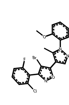 COc1ccccc1-n1ncc(-c2onc(-c3c(F)cccc3Cl)c2Br)c1C